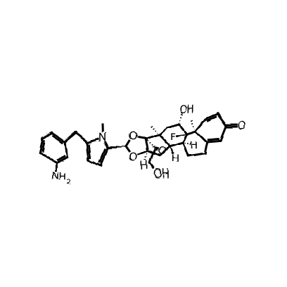 Cn1c(Cc2cccc(N)c2)ccc1[C@@H]1O[C@@H]2C[C@H]3[C@@H]4CCC5=CC(=O)C=C[C@]5(C)[C@@]4(F)[C@@H](O)C[C@]3(C)[C@]2(C(=O)CO)O1